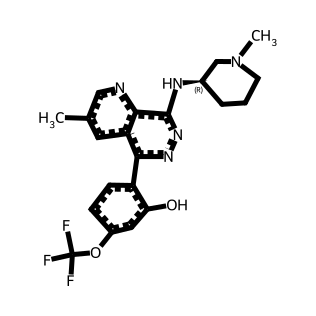 Cc1cnc2c(N[C@@H]3CCCN(C)C3)nnc(-c3ccc(OC(F)(F)F)cc3O)c2c1